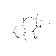 Cc1cccc2c1C(=O)NC(C)(C)CO2